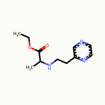 CCOC(=O)C(C)NCCc1cnccn1